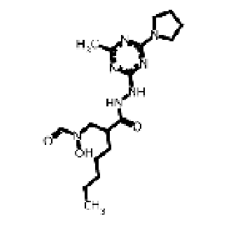 CCCCCC(CN(O)C=O)C(=O)NNc1nc(C)nc(N2CCCC2)n1